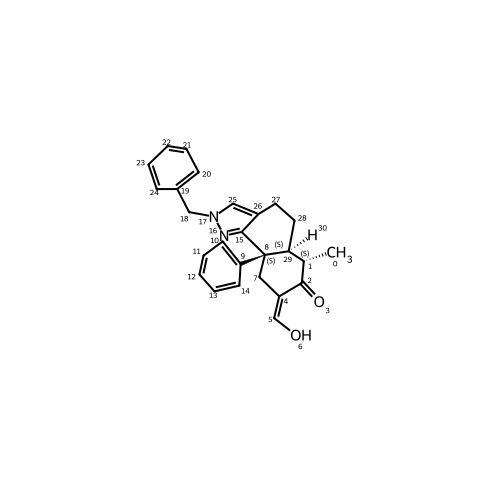 C[C@@H]1C(=O)C(=CO)C[C@]2(c3ccccc3)c3nn(Cc4ccccc4)cc3CC[C@@H]12